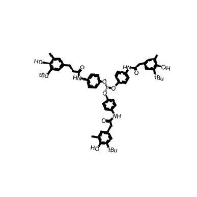 Cc1cc(CCC(=O)Nc2ccc(OP(Oc3ccc(NC(=O)Cc4cc(C)c(O)c(C(C)(C)C)c4)cc3)Oc3ccc(NC(=O)Cc4cc(C)c(O)c(C(C)(C)C)c4)cc3)cc2)cc(C(C)(C)C)c1O